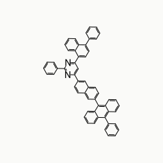 c1ccc(-c2nc(-c3ccc4cc(-c5c6ccccc6c(-c6ccccc6)c6ccccc56)ccc4c3)cc(-c3ccc(-c4ccccc4)c4ccccc34)n2)cc1